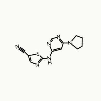 N#Cc1cnc(Nc2cc(N3CCCC3)ncn2)s1